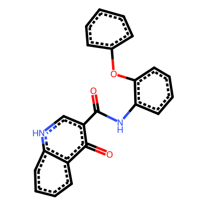 O=C(Nc1ccccc1Oc1ccccc1)c1c[nH]c2ccccc2c1=O